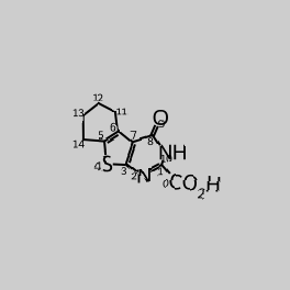 O=C(O)c1nc2sc3c(c2c(=O)[nH]1)CCCC3